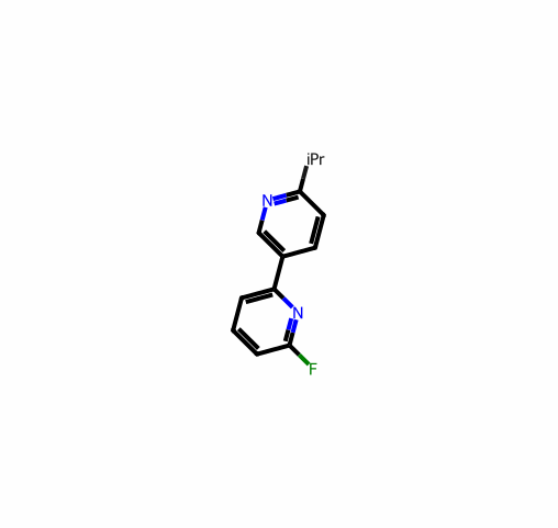 CC(C)c1ccc(-c2cccc(F)n2)cn1